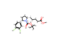 COC(=O)CCCC[C@H]1CC[C@@H](c2ccc(F)c(F)c2)N1C(=O)OC(C)(C)C